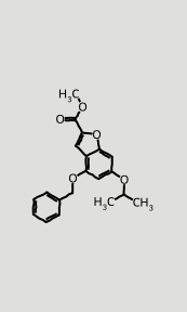 COC(=O)c1cc2c(OCc3ccccc3)cc(OC(C)C)cc2o1